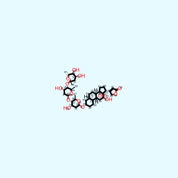 C[C@H]1O[C@@](C)(O[C@H]2[C@@H](O)C[C@H](O[C@H]3[C@@H](O)C[C@H](O[C@H]4CC[C@@]5(C)[C@H](CC[C@@H]6[C@@H]5C[C@@H](O)[C@]5(C)[C@@H](C7=CC(=O)OC7)CC[C@]65O)C4)O[C@@H]3C)O[C@@H]2C)C[C@H](O)[C@@H]1O